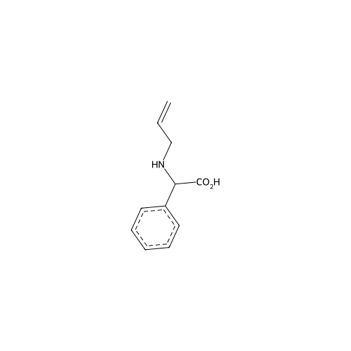 C=CCNC(C(=O)O)c1ccccc1